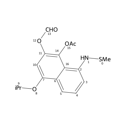 CSNc1cccc2c(OC(C)C)cc(OC=O)c(OC(C)=O)c12